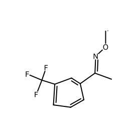 [CH2]ON=C(C)c1cccc(C(F)(F)F)c1